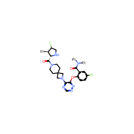 CC[C@@H]1[C@@H](C(=O)N2CCC3(CC2)CN(c2ncnnc2Oc2ccc(F)cc2C(=O)N(CC)C(C)C)C3)NC[C@@H]1F